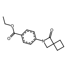 CCOC(=O)c1ccc(N2CC3(CCC3)C2=O)cc1